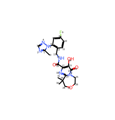 Cc1ncnn1-c1cc(F)ccc1CNC(=O)c1nc2n(c(=O)c1O)CCOCC2(C)C